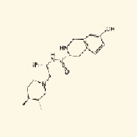 CC(C)[C@@H](CN1CC[C@H](C)[C@@H](C)C1)NC(=O)[C@H]1Cc2ccc(O)cc2CN1